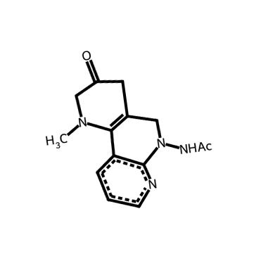 CC(=O)NN1CC2=C(c3cccnc31)N(C)CC(=O)C2